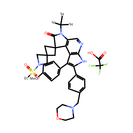 O=C(O)C(F)(F)F.[2H]C([2H])([2H])N1C(=O)C2(CC3(CN(S(=O)(=O)CC)C3)C2)c2c1cnc1[nH]c(-c3ccc(CN4CCOCC4)cc3)c(-c3ccc(OC)cc3)c21